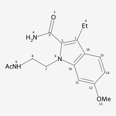 CCc1c(C(N)=O)n(CCNC(C)=O)c2cc(OC)ccc12